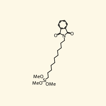 CO[Si](CCCCCCCCCCCN1C(=O)c2ccccc2C1=O)(OC)OC